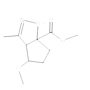 COC(=O)C12CCC(OC)C1C(C)=NO2